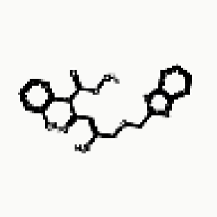 COC(=O)N(C(=O)C=C(C)COCc1nc2ccccc2s1)c1ccccc1C